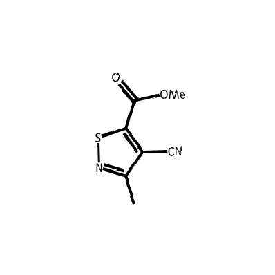 COC(=O)c1snc(C)c1C#N